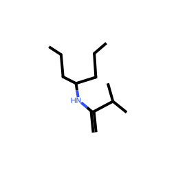 C=C(NC(CCC)CCC)C(C)C